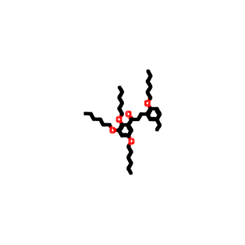 CCCCCCOc1cc(OCCCCCC)c(OCCCCCC)c(C(=O)CCc2cc(CC)ccc2OCCCCCC)c1